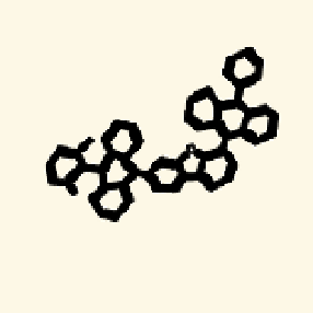 Cc1cccc(C)c1-c1c2ccccc2c(-c2ccc3c(c2)oc2c(-c4c5ccccc5c(-c5ccccc5)c5ccccc45)cccc23)c2ccccc12